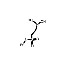 CCOS(=O)(=O)CCN(O)O